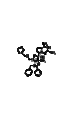 C[C@@]1(OCc2ccccc2)[C@H](OCc2ccccc2)[C@@H](COCc2ccccc2)O[C@@]1(O)c1ccc2n1N=C(N)NC2N